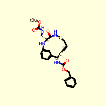 CC(C)(C)OC(=O)NC[C@H]1Nc2cccc(c2)[C@@H](NC(=O)OCc2ccccc2)C/C=C/CCNC1=O